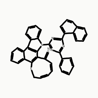 C=C1/C=C\C=C/CSc2c1c1c(c3ccccc23)c2ccccc2n1-c1nc(-c2ccccc2)nc(-c2cccc3ccccc23)n1